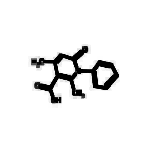 Cc1cc(=O)n(-c2ccccc2)c(C)c1C(=O)O